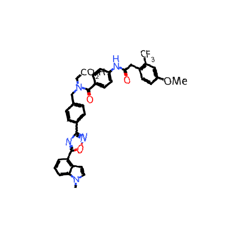 COc1ccc(CC(=O)Nc2ccc(C(=O)N(CC(=O)O)Cc3ccc(-c4noc(-c5cccc6c5ccn6C)n4)cc3)cc2)c(C(F)(F)F)c1